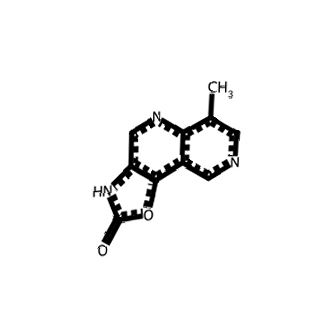 Cc1cncc2c1ncc1[nH]c(=O)oc12